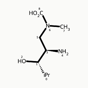 CC(C)[C@H](O)[C@H](N)CN(C)C(=O)O